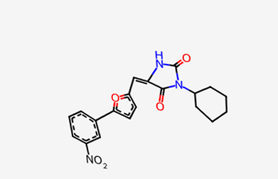 O=C1NC(=Cc2ccc(-c3cccc([N+](=O)[O-])c3)o2)C(=O)N1C1CCCCC1